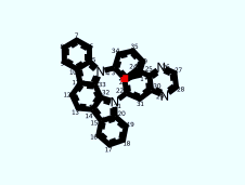 c1ccc(-n2c3ccccc3c3ccc4c5ccccc5n(-c5ccc6nccnc6c5)c4c32)cc1